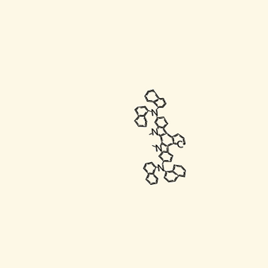 Cn1c2cc(N(c3cccc4ccccc34)c3cccc4ccccc34)ccc2c2c3ccccc3c3c4ccc(N(c5cccc6ccccc56)c5cccc6ccccc56)cc4n(C)c3c21